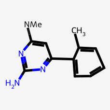 CNc1cc(-c2ccccc2C)nc(N)n1